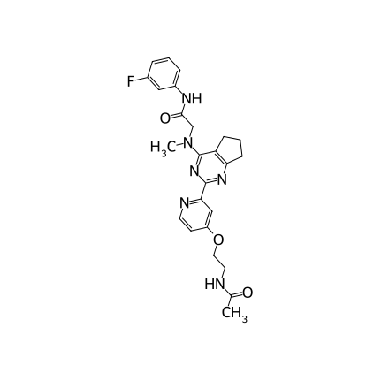 CC(=O)NCCOc1ccnc(-c2nc3c(c(N(C)CC(=O)Nc4cccc(F)c4)n2)CCC3)c1